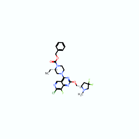 CN1CC(F)(F)C[C@H]1COc1nc(N2CCN(C(=O)OCc3ccccc3)[C@@H](CC#N)C2)c2cnc(Cl)c(F)c2n1